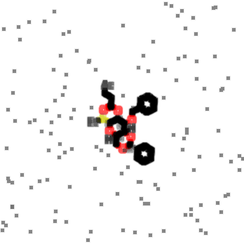 CCS[C@@H]1O[C@@H]2CO[C@@H](c3ccccc3)O[C@H]2[C@H](OCc2ccccc2)[C@H]1OC(=O)CCC(C)=O